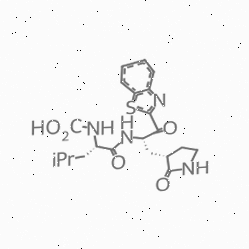 CC(C)C[C@H](NC(=O)O)C(=O)N[C@@H](C[C@@H]1CCNC1=O)C(=O)c1nc2ccccc2s1